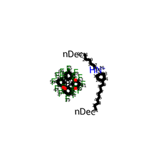 CCCCCCCCCCCCCCCCCCCc1ccc([NH+](C)CCCCCCCCCCCCCCCC)cc1.Fc1c(F)c(F)c([B-](c2c(F)c(F)c(F)c(F)c2F)(c2c(F)c(F)c(F)c(F)c2F)c2c(F)c(F)c(F)c(F)c2F)c(F)c1F